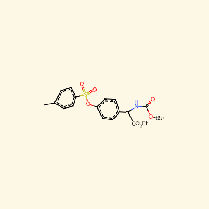 CCOC(=O)C(NC(=O)OC(C)(C)C)c1ccc(OS(=O)(=O)c2ccc(C)cc2)cc1